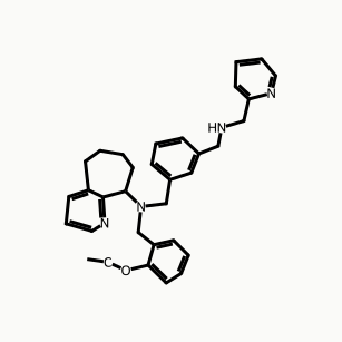 CCOc1ccccc1CN(Cc1cccc(CNCc2ccccn2)c1)C1CCCCc2cccnc21